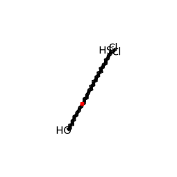 OCCCCCCCCCCCCCCCCCCCCCCCCCCCCCCCCCCCC[SiH](Cl)Cl